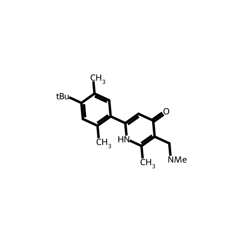 CNCc1c(C)[nH]c(-c2cc(C)c(C(C)(C)C)cc2C)cc1=O